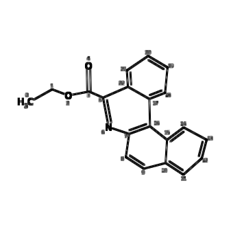 CCOC(=O)c1nc2ccc3ccccc3c2c2ccccc12